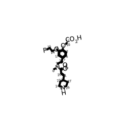 CN(CC(=O)c1ccc(OCC(=O)O)c(OCCF)c1)C(=O)/C=C/C1CCNCC1